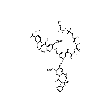 CCCCCC(C)c1ccc2c(c1)C[C@H]1C=Nc3cc(OCc4cc(COc5cc6c(cc5OC)C(=O)N5c7ccccc7C[C@H]5C=N6)cc(NC(=O)[C@@H](C)NC(=O)[C@H](C)NC(=O)CCC(C)(C)SSC(C)CCC(C)=O)c4)c(OC)cc3C(=O)N21